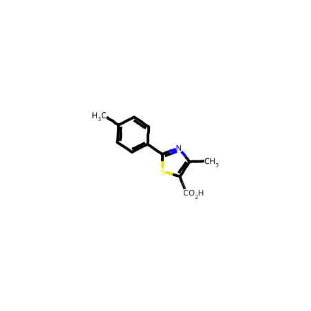 Cc1ccc(-c2nc(C)c(C(=O)O)s2)cc1